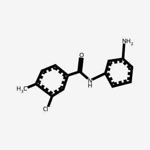 Cc1ccc(C(=O)Nc2cccc(N)c2)cc1Cl